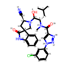 CC(C)C[C@@H](C(O)N1C[C@]2(C[C@H]1C#N)C(=O)Nc1ccccc12)N(C)C(=O)c1cn(-c2cccc(Cl)c2)nn1